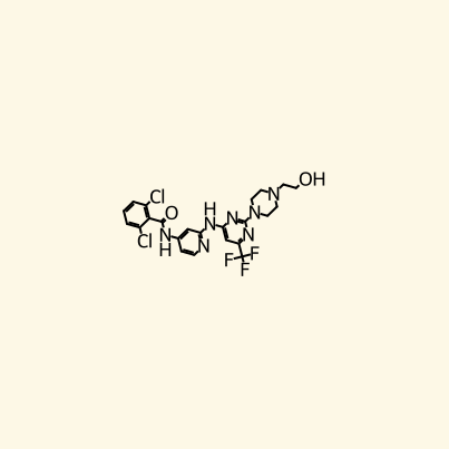 O=C(Nc1ccnc(Nc2cc(C(F)(F)F)nc(N3CCN(CCO)CC3)n2)c1)c1c(Cl)cccc1Cl